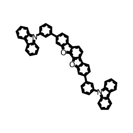 c1cc(-c2ccc3c(c2)oc2c3ccc3c4ccc(-c5cccc(-n6c7ccccc7c7ccccc76)c5)cc4oc32)cc(-n2c3ccccc3c3ccccc32)c1